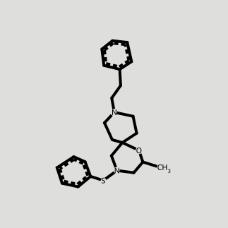 CC1CN(Sc2ccccc2)CC2(CCN(CCc3ccccc3)CC2)O1